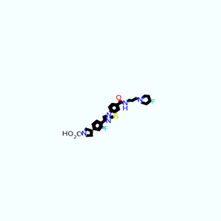 O=C(NCCCN1CCC(F)CC1)c1ccc2c(c1)sc1nc(-c3ccc([C@@H]4CCN(C(=O)O)C4)cc3F)cn12